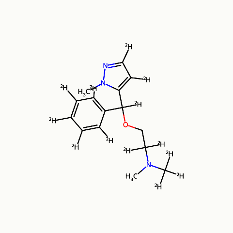 [2H]c1nn(C)c(C([2H])(OCC([2H])([2H])N(C)C([2H])([2H])[2H])c2c([2H])c([2H])c([2H])c([2H])c2[2H])c1[2H]